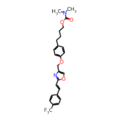 CN(C)C(=O)OCCCCc1ccc(OCc2coc(/C=C/c3ccc(C(F)(F)F)cc3)n2)cc1